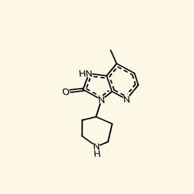 Cc1ccnc2c1[nH]c(=O)n2C1CCNCC1